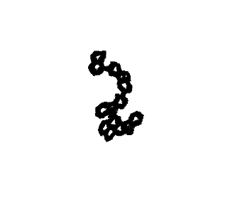 c1ccc2c(-c3ccc4oc5ccc(-c6ccc7c(c6)c6ccccc6n7-c6cc7c8c(cc9ccc%10cccc6c%10c97)sc6ccccc68)cc5c4c3)cccc2c1